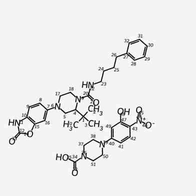 CC(C)(C)C1CN(c2ccc3[nH]c(=O)oc3c2)CCN1C(=O)NCCCCc1ccccc1.O=C(O)N1CCN(c2ccc([N+](=O)[O-])c(O)c2)CC1